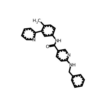 Cc1ccc(NC(=O)c2ccc(NCc3ccccc3)nc2)cc1-c1ccccn1